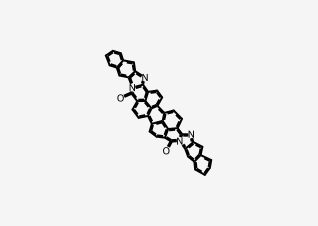 O=c1c2ccc3c4ccc5c(=O)n6c7cc8ccccc8cc7nc6c6ccc(c7ccc(c2c37)c2nc3cc7ccccc7cc3n12)c4c56